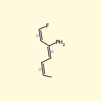 C\C=C/C=C(P)\C=C/F